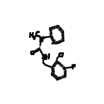 CN(C(=O)NCc1cccc(F)c1Cl)c1[c]cccc1